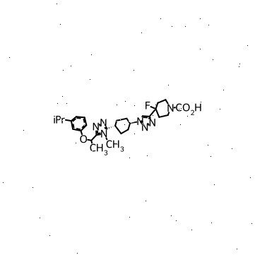 CC(C)c1cccc(OC(C)c2nnc([C@H]3CC[C@H](n4cc(C5(F)CCN(C(=O)O)CC5)nn4)CC3)n2C)c1